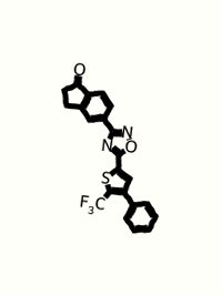 O=C1CCc2cc(-c3noc(-c4cc(-c5ccccc5)c(C(F)(F)F)s4)n3)ccc21